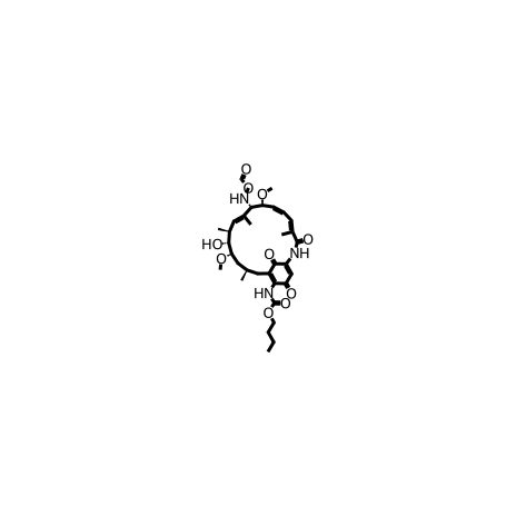 CCCCOC(=O)NC1=C2C[C@@H](C)C[C@H](OC)[C@H](O)[C@@H](C)/C=C(\C)[C@H](NOC=O)[C@@H](OC)/C=C\C=C(/C)C(=O)NC(=CC1=O)C2=O